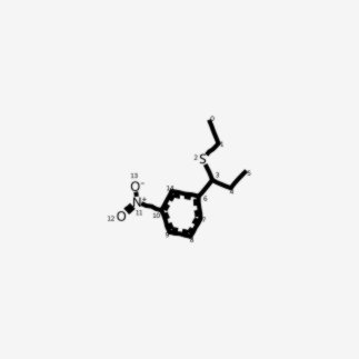 CCSC(CC)c1cccc([N+](=O)[O-])c1